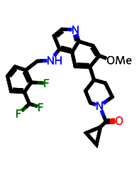 COc1cc2nccc(NCc3cccc(C(F)F)c3F)c2cc1C1CCN(C(=O)C2CC2)CC1